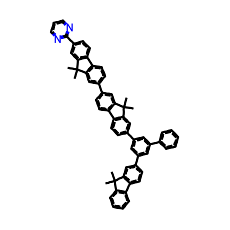 CC1(C)c2ccccc2-c2ccc(-c3cc(-c4ccccc4)cc(-c4ccc5c(c4)C(C)(C)c4cc(-c6ccc7c(c6)C(C)(C)c6cc(-c8ncccn8)ccc6-7)ccc4-5)c3)cc21